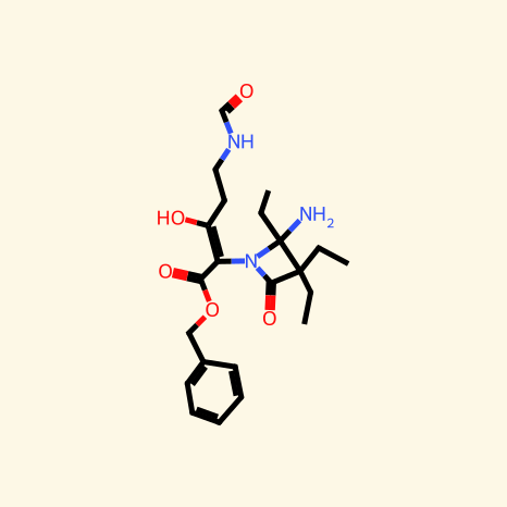 CCC1(CC)C(=O)N(C(C(=O)OCc2ccccc2)=C(O)CCNC=O)C1(N)CC